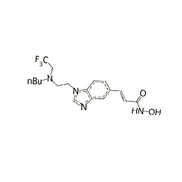 CCCCN(CCn1cnc2cc(C=CC(=O)NO)ccc21)CC(F)(F)F